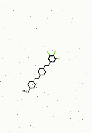 CCCCCCCC[C@H]1CC[C@H](CCC2CCC(CCc3cc(F)c(F)c(F)c3)CC2)CC1